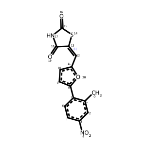 Cc1cc([N+](=O)[O-])ccc1-c1ccc(/C=C2/SC(=O)NC2=O)o1